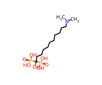 CN(C)CCCCCCCCCCC(O)(P(=O)(O)O)P(=O)(O)O